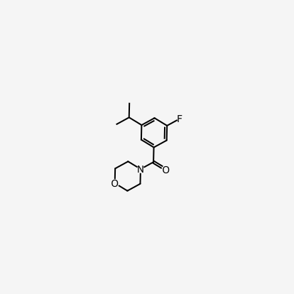 CC(C)c1cc(F)cc(C(=O)N2CCOCC2)c1